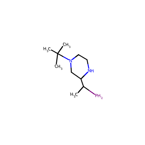 CC(P)C1CN(C(C)(C)C)CCN1